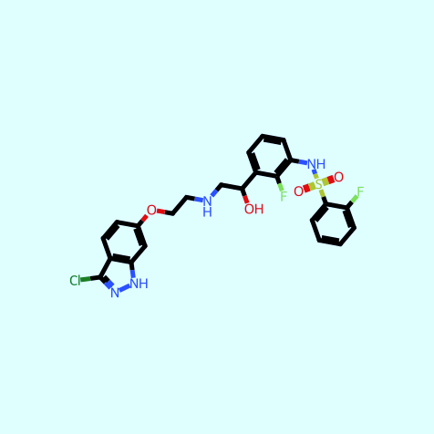 O=S(=O)(Nc1cccc(C(O)CNCCOc2ccc3c(Cl)n[nH]c3c2)c1F)c1ccccc1F